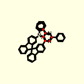 c1ccc(-c2nc(-c3ccccc3)nc(-c3ccc4c(c3)C3(c5ccccc5-4)c4ccccc4-c4ccc(-n5c6ccccc6c6ccccc65)cc43)n2)cc1